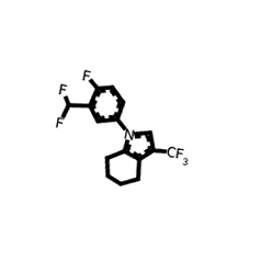 Fc1ccc(-n2cc(C(F)(F)F)c3c2CCCC3)cc1C(F)F